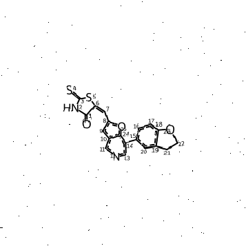 O=C1NC(=S)S/C1=C/c1cc2cncc(-c3ccc4c(c3)CCO4)c2o1